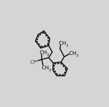 CCC(C)c1ccccc1[C](Cc1ccccc1)C(C)(C)Cl